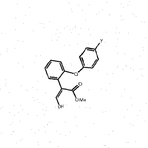 COC(=O)C(=CO)c1ccccc1Oc1cc[c]([Y])cc1